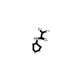 O=C(NC1CCCCC1)C(F)F